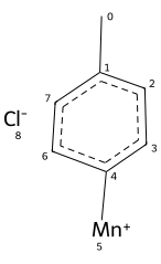 Cc1cc[c]([Mn+])cc1.[Cl-]